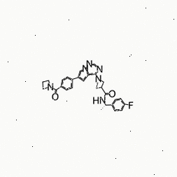 C[C@H](NC(=O)C1CN(c2ncnn3cc(-c4ccc(C(=O)N5CCC5)cc4)cc23)C1)c1ccc(F)cc1